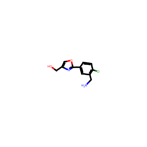 NCc1cc(-c2nc(CO)co2)ccc1Cl